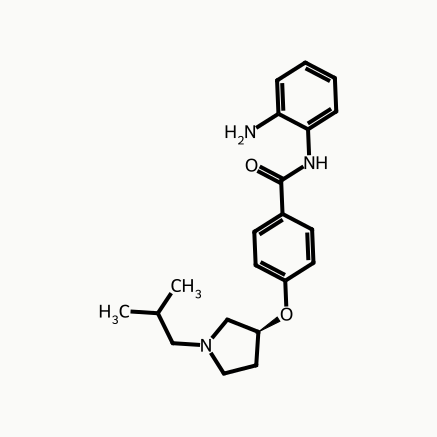 CC(C)CN1CC[C@H](Oc2ccc(C(=O)Nc3ccccc3N)cc2)C1